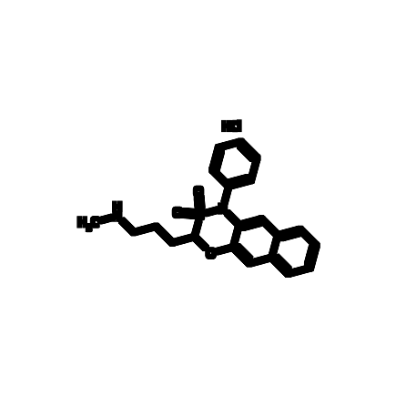 CNCCCC1Oc2cc3ccccc3cc2N(c2ccccc2)S1(=O)=O.Cl